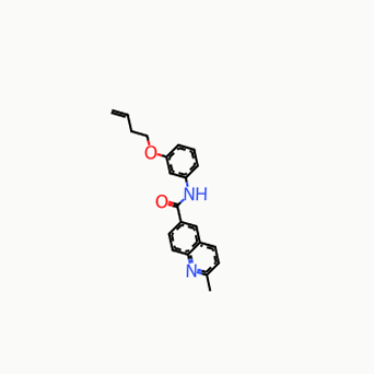 C=CCCOc1cccc(NC(=O)c2ccc3nc(C)ccc3c2)c1